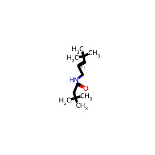 CC(C)(C)/C=C/CNC(=O)CC(C)(C)C